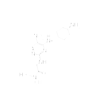 CN(C)C(=O)CNc1ncc([N+](=O)[O-])c(NC[C@H]2CC[C@H](N)CC2)n1